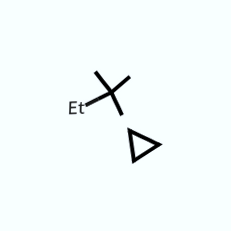 C1CC1.CCC(C)(C)C